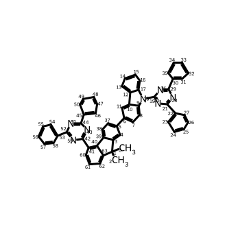 CC1(C)c2cc(-c3ccc4c(c3)c3ccccc3n4-c3nc(-c4ccccc4)nc(-c4ccccc4)n3)ccc2-c2c(-c3nc(-c4ccccc4)nc(-c4ccccc4)n3)cccc21